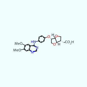 COc1cc2ncnc(Nc3ccc(O[C@H]4CO[C@@H]5[C@@H](CC(=O)O)CO[C@H]54)cc3)c2cc1OC